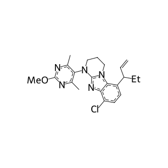 C=CC(CC)c1ccc(Cl)c2nc3n(c12)CCCN3c1c(C)nc(OC)nc1C